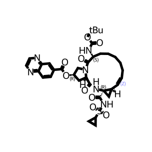 CC(C)(C)OC(=O)N[C@H]1CCCCC/C=C\[C@@H]2C[C@@]2(C(=O)NS(=O)(=O)C2CC2)NC(=O)[C@@H]2C[C@@H](OC(=O)c3ccc4nccnc4c3)CN2C1=O